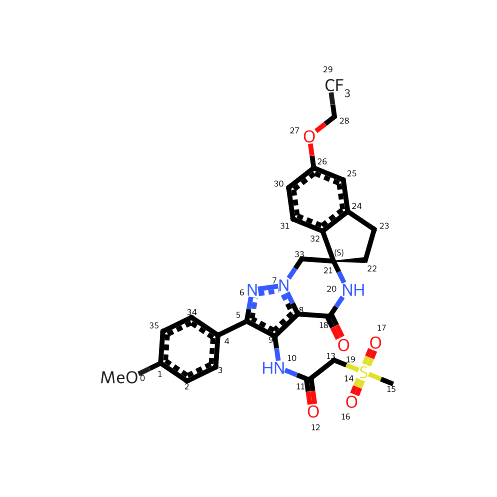 COc1ccc(-c2nn3c(c2NC(=O)CS(C)(=O)=O)C(=O)N[C@]2(CCc4cc(OCC(F)(F)F)ccc42)C3)cc1